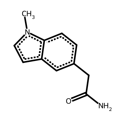 Cn1ccc2cc(CC(N)=O)ccc21